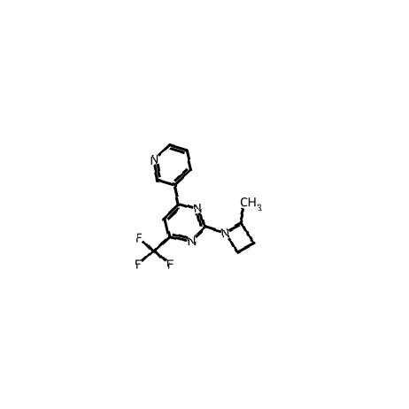 CC1CCN1c1nc(-c2cccnc2)cc(C(F)(F)F)n1